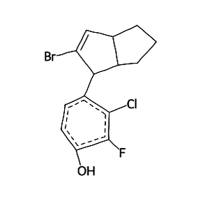 Oc1ccc(C2C(Br)=CC3CCCC32)c(Cl)c1F